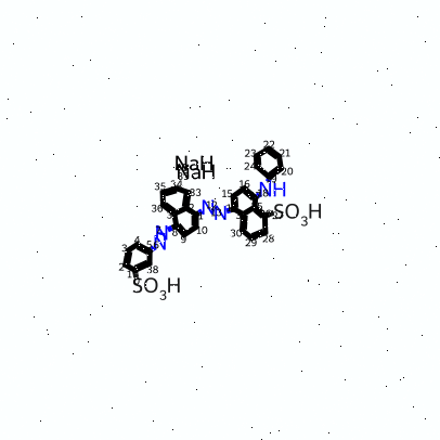 O=S(=O)(O)c1cccc(N=Nc2ccc(N=Nc3ccc(Nc4ccccc4)c4c(S(=O)(=O)O)cccc34)c3ccccc23)c1.[NaH].[NaH]